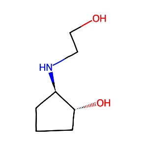 OCCN[C@@H]1CCC[C@H]1O